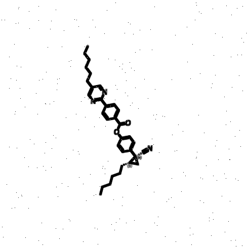 CCCCCCc1cnc(-c2ccc(C(=O)Oc3ccc([C@@]4(C#N)C[C@@H]4CCCCCC)cc3)cc2)nc1